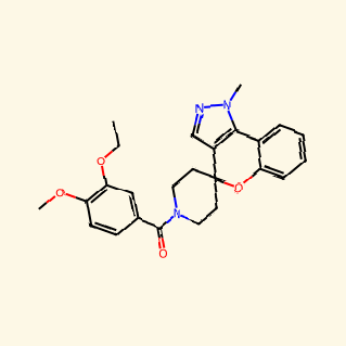 CCOc1cc(C(=O)N2CCC3(CC2)Oc2ccccc2-c2c3cnn2C)ccc1OC